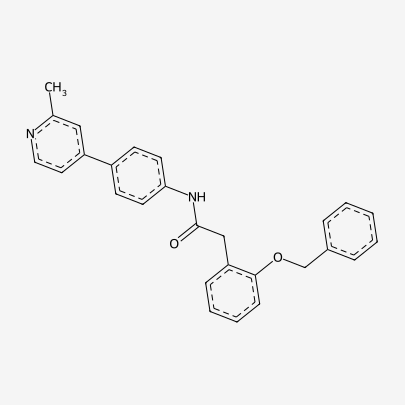 Cc1cc(-c2ccc(NC(=O)Cc3ccccc3OCc3ccccc3)cc2)ccn1